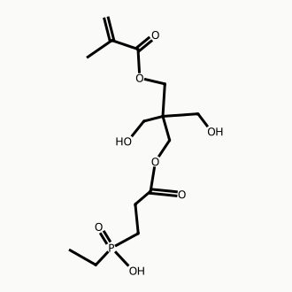 C=C(C)C(=O)OCC(CO)(CO)COC(=O)CCP(=O)(O)CC